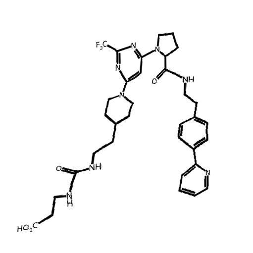 O=C(O)CCNC(=O)NCCC1CCN(c2cc(N3CCCC3C(=O)NCCc3ccc(-c4ccccn4)cc3)nc(C(F)(F)F)n2)CC1